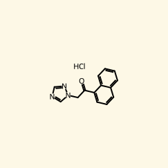 Cl.O=C(Cn1cncn1)c1cccc2ccccc12